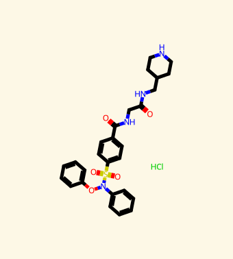 Cl.O=C(CNC(=O)c1ccc(S(=O)(=O)N(Oc2ccccc2)c2ccccc2)cc1)NCC1CCNCC1